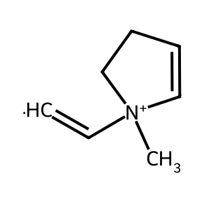 [CH]=C[N+]1(C)C=CCC1